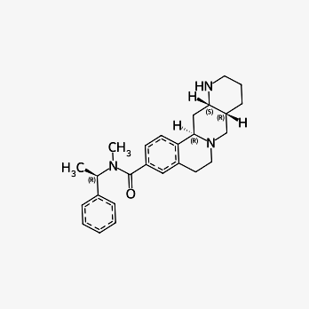 C[C@H](c1ccccc1)N(C)C(=O)c1ccc2c(c1)CCN1C[C@H]3CCCN[C@H]3C[C@H]21